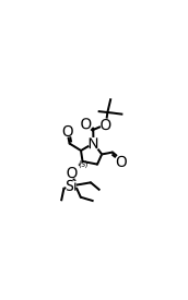 CC[Si](CC)(CC)O[C@H]1CC(C=O)N(C(=O)OC(C)(C)C)C1C=O